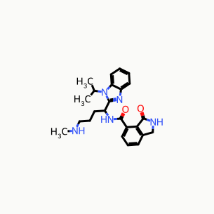 CNCCCC(NC(=O)c1cccc2c1C(=O)NC2)c1nc2ccccc2n1C(C)C